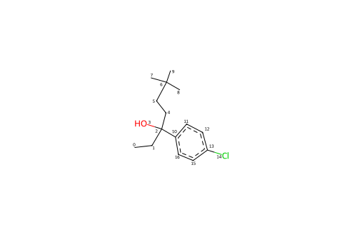 CCC(O)(CCC(C)(C)C)c1ccc(Cl)cc1